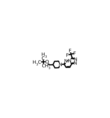 CC(C)(C)OCC1CCN(c2ccc3nnc(C(F)(F)F)n3n2)CC1